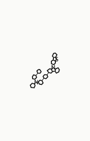 c1ccc(-c2cccc(N(c3ccccc3)c3cccc(-c4ccc(-c5ccc6c(c5)c5ccccc5n6-c5ccc6c(c5)sc5ccccc56)cc4)c3)c2)cc1